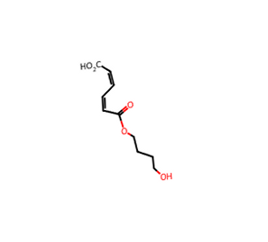 O=C(O)/C=C\C=C/C(=O)OCCCCO